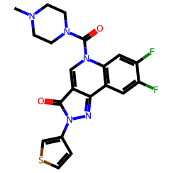 CN1CCN(C(=O)n2cc3c(=O)n(-c4ccsc4)nc-3c3cc(F)c(F)cc32)CC1